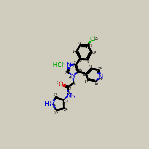 Cl.O=C(Cn1cnc(-c2ccc(Cl)cc2)c1-c1ccncc1)N[C@H]1CCNC1